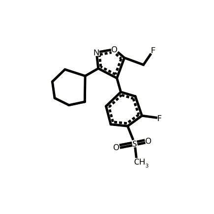 CS(=O)(=O)c1ccc(-c2c(C3CCCCC3)noc2CF)cc1F